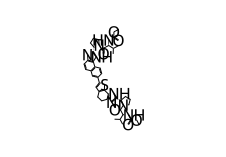 COC(=O)N[C@H](C(=O)N1CCC[C@H]1c1nc2c([nH]1)-c1sc(-c3ccc4c(ccc5nc([C@@H]6CCCN6C(=O)[C@@H](NC(=O)OC)C(C)C)[nH]c54)c3)cc1CC2)C(C)C